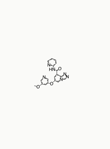 COc1cncc(Oc2cc(C(=O)Nc3ccccn3)c3nncn3c2)c1